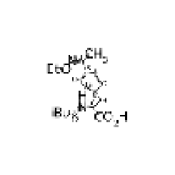 CCO/N=C(/C)c1ccc(CC(NCC(C)CC)C(=O)O)cc1